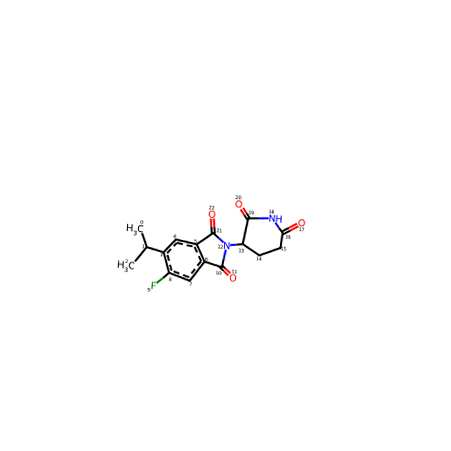 CC(C)c1cc2c(cc1F)C(=O)N(C1CCC(=O)NC1=O)C2=O